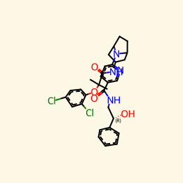 CC(C)(Oc1ccc(Cl)cc1Cl)C(=O)NC1CC2CCC(C1)N2c1ccc(C(=O)NC[C@H](O)c2ccccc2)cn1